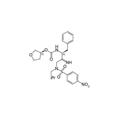 CC(C)CN(CC(=N)[C@H](Cc1ccccc1)NC(=O)O[C@H]1CCOC1)S(=O)(=O)c1ccc([N+](=O)[O-])cc1